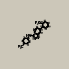 FC(F)(F)c1ccc(Nc2nnc3cc(-c4ncccc4C(F)(F)F)cnn23)nc1